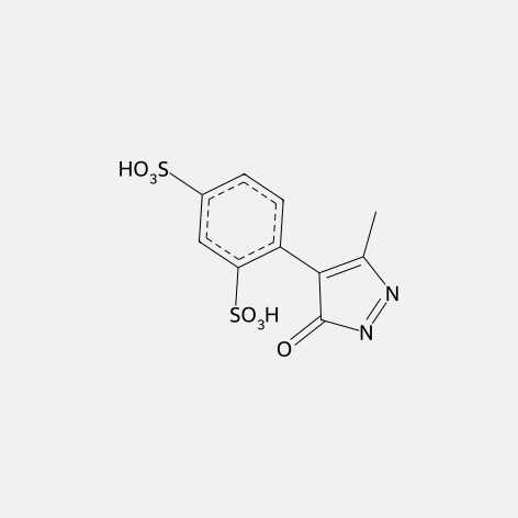 CC1=C(c2ccc(S(=O)(=O)O)cc2S(=O)(=O)O)C(=O)N=N1